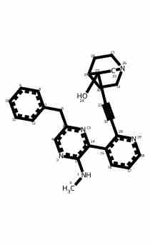 CNc1ncc(Cc2ccccc2)nc1-c1cccnc1C#CC1(O)CN2CCC1CC2